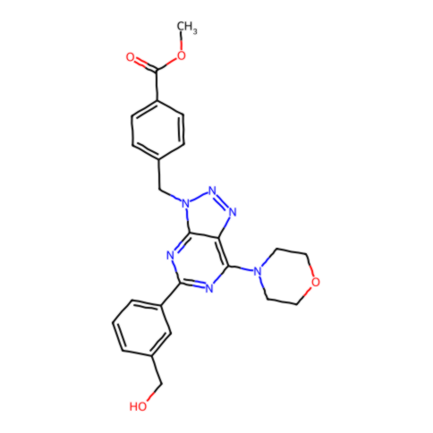 COC(=O)c1ccc(Cn2nnc3c(N4CCOCC4)nc(-c4cccc(CO)c4)nc32)cc1